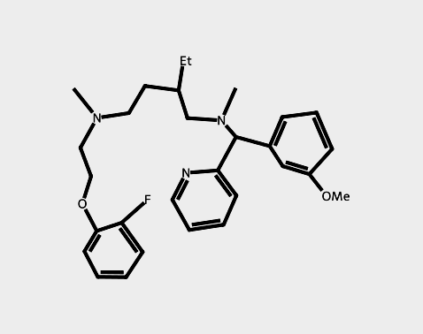 CCC(CCN(C)CCOc1ccccc1F)CN(C)C(c1cccc(OC)c1)c1ccccn1